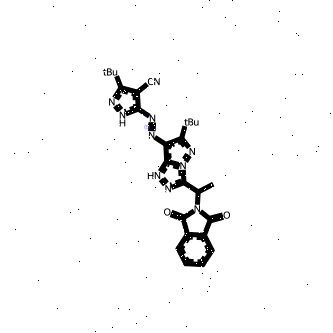 CC(c1n[nH]c2c(/N=N/c3[nH]nc(C(C)(C)C)c3C#N)c(C(C)(C)C)nn12)N1C(=O)c2ccccc2C1=O